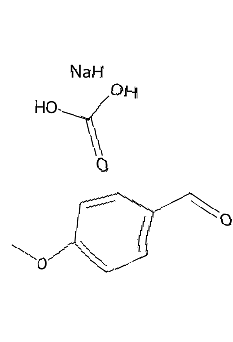 COc1ccc(C=O)cc1.O=C(O)O.[NaH]